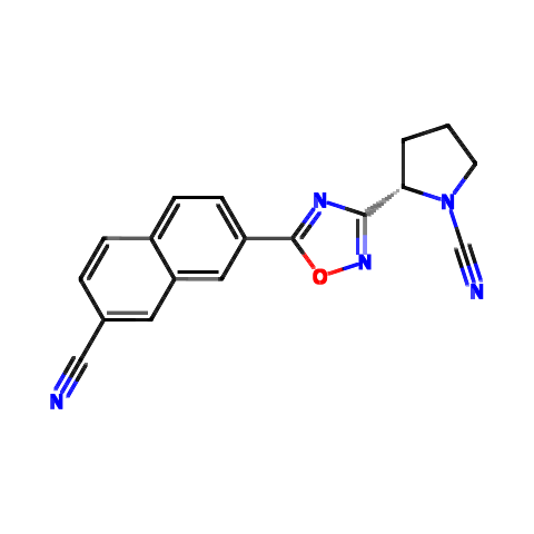 N#Cc1ccc2ccc(-c3nc([C@@H]4CCCN4C#N)no3)cc2c1